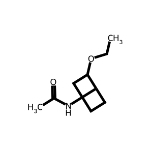 CCOC1CC2(NC(C)=O)CCC12